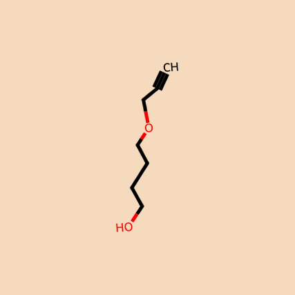 C#CCOCCCCO